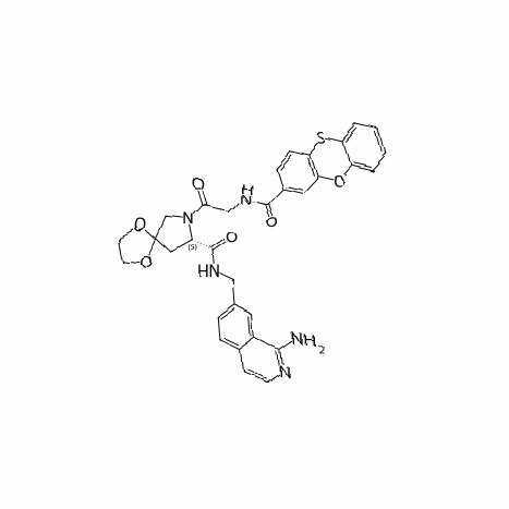 Nc1nccc2ccc(CNC(=O)[C@@H]3CC4(CN3C(=O)CNC(=O)c3ccc5c(c3)Oc3ccccc3S5)OCCO4)cc12